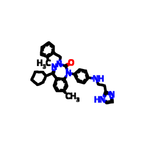 Cc1ccc2c(c1)N(c1ccc(NCCc3ncc[nH]3)cc1)C(=O)N(Cc1ccccc1C)N=C2C1CCCCC1